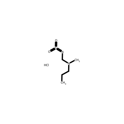 CCCN(C)CN=S(=O)=O.Cl